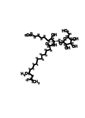 C=C(F)CC(C)CCCCCCCCCCC(=O)N[C@@H](COC1OC(CO)C(O)C(O)C1O)[C@H](O)CCCCCCCCCCCCCCC